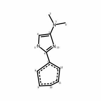 CN(C)C1=C[N]C(c2ccccc2)=N1